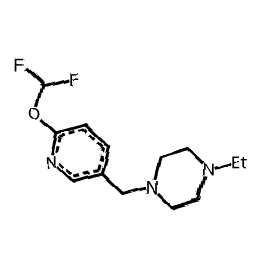 CCN1CCN(Cc2ccc(OC(F)F)nc2)CC1